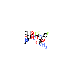 COc1cc(C(=O)NC[C@](O)(c2cc3c(c(-c4ccc(F)cc4)n2)OC[C@@H]3C(N)=O)C(F)(F)F)cc2cn(C3CC3)nc12